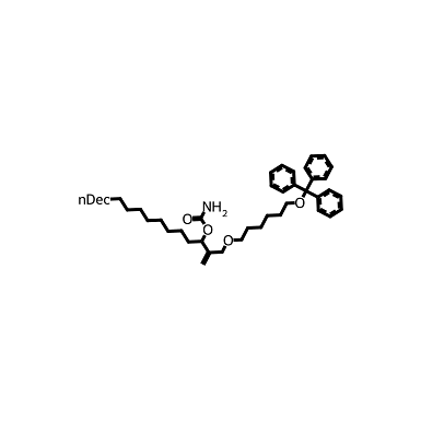 C=C(COCCCCCCOC(c1ccccc1)(c1ccccc1)c1ccccc1)C(CCCCCCCCCCCCCCCCCC)OC(N)=O